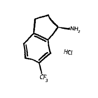 Cl.N[C@@H]1CCc2ccc(C(F)(F)F)cc21